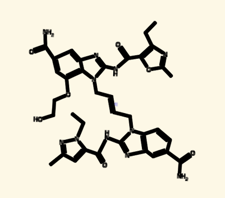 CCc1nc(C)oc1C(=O)Nc1nc2cc(C(N)=O)cc(OCCO)c2n1C/C=C/Cn1c(NC(=O)c2cc(C)nn2CC)nc2cc(C(N)=O)ccc21